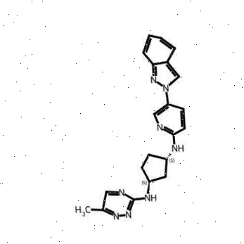 Cc1cnc(N[C@H]2CC[C@H](Nc3ccc(-n4cc5ccccc5n4)cn3)C2)nn1